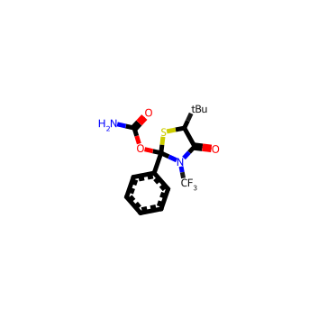 CC(C)(C)C1SC(OC(N)=O)(c2ccccc2)N(C(F)(F)F)C1=O